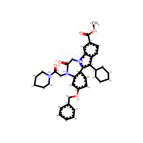 COC(=O)c1ccc2c(C3CCCCC3)c3n(c2c1)CC(=O)N(CC(=O)N1CCCCC1)c1cc(OCc2ccccc2)ccc1-3